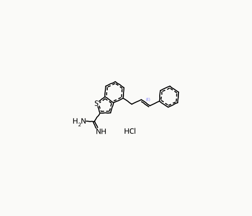 Cl.N=C(N)c1cc2c(C/C=C/c3ccccc3)cccc2s1